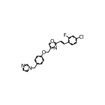 Fc1cc(Cl)ccc1C=Cc1nc(COc2ccc(Cn3ccnc3)cc2)co1